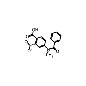 CN(C(=O)c1ccccc1)c1ccc(C(=O)O)c([N+](=O)[O-])c1